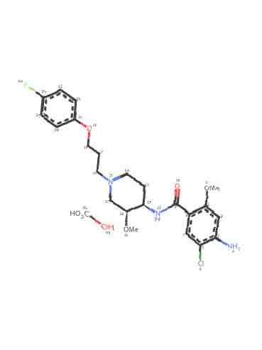 COc1cc(N)c(Cl)cc1C(=O)N[C@@H]1CCN(CCCOc2ccc(F)cc2)C[C@@H]1OC.O=C(O)O